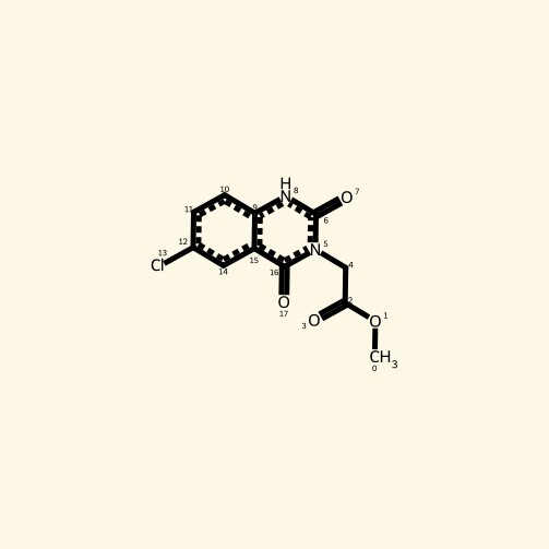 COC(=O)Cn1c(=O)[nH]c2ccc(Cl)cc2c1=O